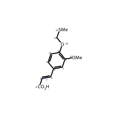 COc1cc(/C=C/C(=O)O)ccc1OCSC